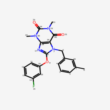 Cc1cccc(Cn2c(Oc3cccc(F)c3)nc3c2c(=O)n(C)c(=O)n3C)c1